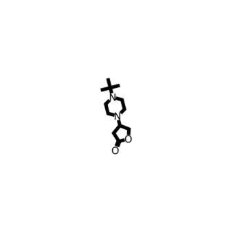 CC(C)(C)N1CCN(C2COC(=O)C2)CC1